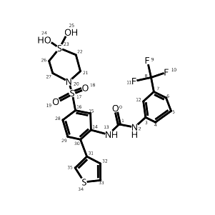 O=C(Nc1cccc(C(F)(F)F)c1)Nc1cc(S(=O)(=O)N2CCS(O)(O)CC2)ccc1-c1ccsc1